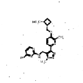 Cc1nc(-c2nnn(C)c2CNc2nccc(C(C)C)n2)ccc1OC[C@@H]1CC[C@H]1C(=O)O